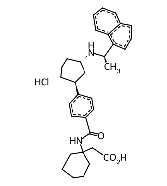 C[C@@H](N[C@H]1CCC[C@H](c2ccc(C(=O)NC3(CC(=O)O)CCCCC3)cc2)C1)c1cccc2ccccc12.Cl